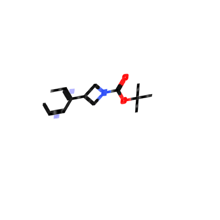 C/C=C\C(=C/C)C1CN(C(=O)OC(C)(C)C)C1